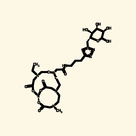 CCN1CCN(CC(=O)NCCCc2cn(C[C@H]3OC(O)[C@H](O)[C@@H](O)[C@@H]3O)nn2)CCN2CCN(C)CC(=O)O[N@](OC(=O)C1)OC(=O)C2